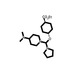 CCOC(=O)[C@H]1CC[C@H](OC(N2CCCC2)N2CCC(N(C)C)CC2)CC1